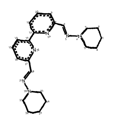 C(=NN1CCCCC1)c1cccc(-c2cccc(C=NN3CCCCC3)n2)n1